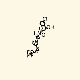 O=C(NC12CC(n3cc([C@@H]4C[C@H]4COC(F)(F)F)cn3)(C1)C2)[C@H]1C[C@@H](O)c2cc(Cl)ccc2O1